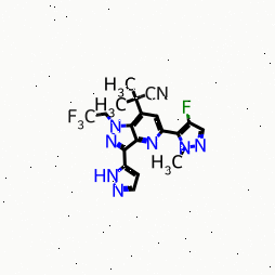 Cn1ncc(F)c1-c1cc(C(C)(C)C#N)c2c(n1)c(-c1ccn[nH]1)nn2CC(F)(F)F